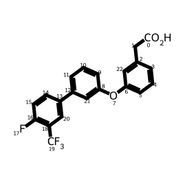 O=C(O)Cc1cccc(Oc2cccc(-c3ccc(F)c(C(F)(F)F)c3)c2)c1